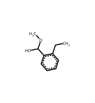 CCc1ccccc1C(O)OC